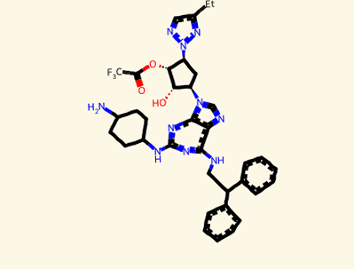 CCc1cnn([C@H]2C[C@@H](n3cnc4c(NCC(c5ccccc5)c5ccccc5)nc(NC5CCC(N)CC5)nc43)[C@H](O)[C@@H]2OC(=O)C(F)(F)F)n1